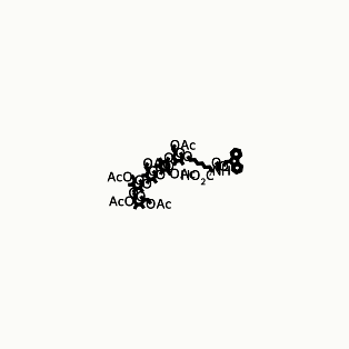 CC(=O)OCC1OC(OC2C(C)C(COC(C)=O)OC(OC3C(C)C(COC(C)=O)OC(OC4C(COC(C)=O)OC(OC5C(COC(C)=O)OC(OCCCCCC[C@H](NC(=O)OCC6c7ccccc7-c7ccccc76)C(=O)O)C(C)C5C)C(C)C4C)C3C)C2C)C(OC(C)=O)C(C)C1C